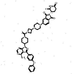 Nc1ncnc2c1c(-c1ccc(Oc3ccccc3)cc1)nn2C1CCN(C(=O)N2CC(N3CCN(c4ccc5c(c4)C(=O)N([C@H]4CCC(=O)NC4=O)C5=O)CC3)C2)CC1